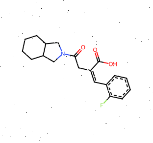 O=C(O)C(=Cc1ccccc1F)CC(=O)N1CC2CCCCC2C1